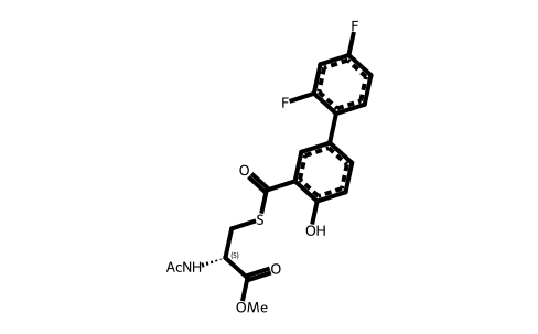 COC(=O)[C@@H](CSC(=O)c1cc(-c2ccc(F)cc2F)ccc1O)NC(C)=O